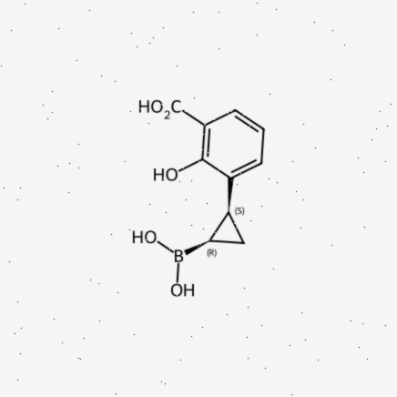 O=C(O)c1cccc([C@H]2C[C@H]2B(O)O)c1O